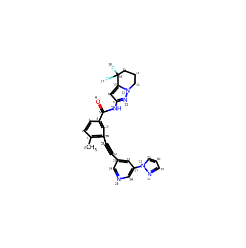 Cc1ccc(C(=O)Nc2cc3n(n2)CCCC3(F)F)cc1C#Cc1cncc(-n2cccn2)c1